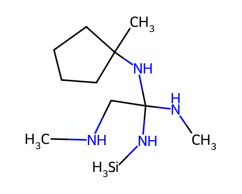 CNCC(NC)(N[SiH3])NC1(C)CCCC1